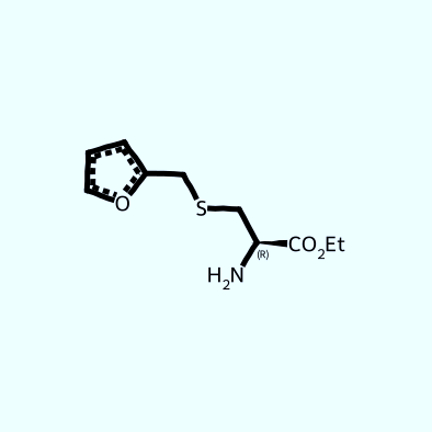 CCOC(=O)[C@@H](N)CSCc1ccco1